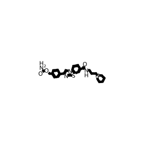 NC(=O)OCc1ccc(-c2cn3c(n2)sc2cc(C(=O)NCCCN4CCCCC4)ccc23)cc1